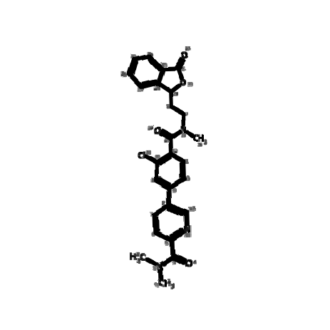 CN(C)C(=O)c1ccc(-c2ccc(C(=O)N(C)CCC3OC(=O)c4ccccc43)c(Cl)c2)cn1